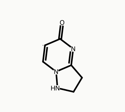 O=c1[c]cn2c(n1)CCN2